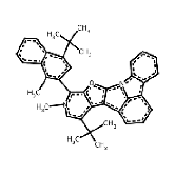 Cc1c(-c2c3oc4c(c5cccc6c7ccccc7n4c65)c3c(C(C)(C)C)c[n+]2C)cc(C(C)(C)C)c2ccccc12